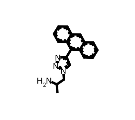 CC(N)Cn1cc(-c2c3ccccc3cc3ccccc23)nn1